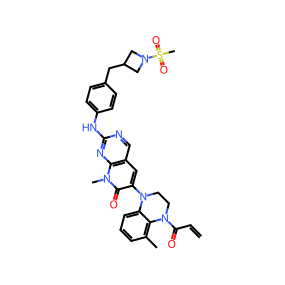 C=CC(=O)N1CCN(c2cc3cnc(Nc4ccc(CC5CN(S(C)(=O)=O)C5)cc4)nc3n(C)c2=O)c2cccc(C)c21